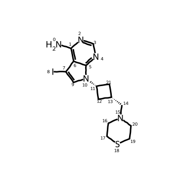 Nc1ncnc2c1c(I)cn2[C@H]1C[C@@H](CN2CCSCC2)C1